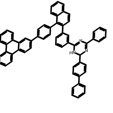 c1ccc(C2=NC(c3ccc(-c4ccccc4)cc3)NC(c3cccc(-c4ccc5ccccc5c4-c4ccc(-c5ccc6c7ccccc7c7ccccc7c6c5)cc4)c3)=N2)cc1